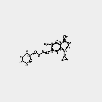 O=c1ccn(C2CC2)c2cc(OCCOC3CCCCO3)c(F)cc12